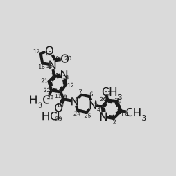 Cc1cnc(N2CCN(C(=O)c3cnc(N4CCOC4=O)cc3C)CC2)c(C)c1.Cl